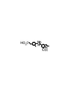 Cc1cc2cc(-c3nc(-c4ccc(CCC(=O)O)cc4C)no3)cc(Cl)c2[nH]1